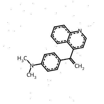 C=C(c1ccc(N(C)C)cc1)c1ccnc2ccccc12